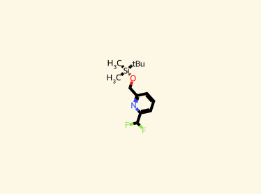 CC(C)(C)[Si](C)(C)OCc1cccc(C(F)F)n1